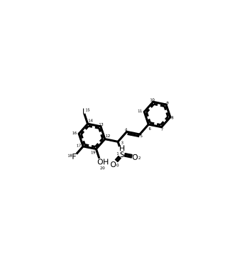 O=[SH](=O)C(C=Cc1ccccc1)c1cc(I)cc(F)c1O